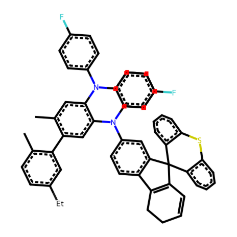 CCc1ccc(C)c(-c2cc(N(c3ccccc3)c3ccc4c(c3)C3(C5=C4CCC=C5)c4ccccc4Sc4ccccc43)c(N(c3ccc(F)cc3)c3ccc(F)cc3)cc2C)c1